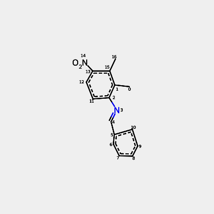 Cc1c(N=Cc2ccccc2)ccc([N+](=O)[O-])c1C